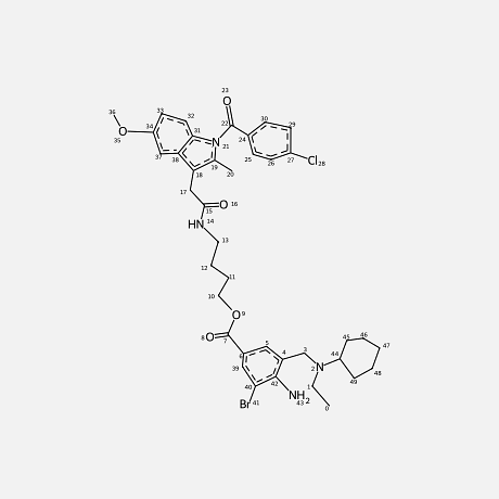 CCN(Cc1cc(C(=O)OCCCCNC(=O)Cc2c(C)n(C(=O)c3ccc(Cl)cc3)c3ccc(OC)cc23)cc(Br)c1N)C1CCCCC1